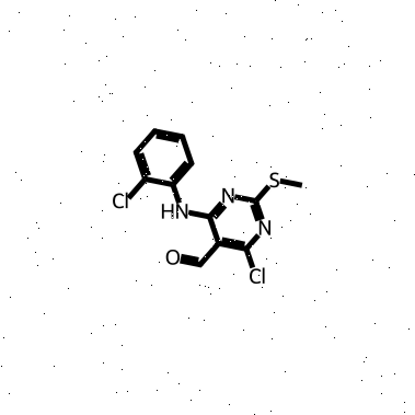 CSc1nc(Cl)c(C=O)c(Nc2ccccc2Cl)n1